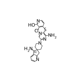 Nc1nc(N2CCC3(CC2)Cc2ncccc2[C@H]3N)cnc1Sc1ccnc(O)c1Cl